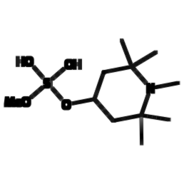 CO[Si](O)(O)OC1CC(C)(C)N(C)C(C)(C)C1